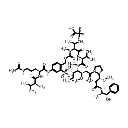 CC[C@H](C)[C@@H]([C@@H](CC(=O)N1CCC[C@H]1[C@H](OC)[C@@H](C)C(=O)N[C@H](C)[C@@H](O)c1ccccc1)OC)N(C)C(=O)[C@@H](NC(=O)[C@H](C(C)C)N(C)C(=O)OCc1ccc(NC(=O)[C@H](CCCNC(N)=O)NC(=O)[C@@H](N)C(C)C)cc1S(=O)(=O)O)C(C)C.O=C(O)C(F)(F)F